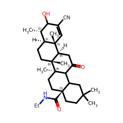 CCNC(=O)[C@]12CCC(C)(C)CC1C1C(=O)C[C@@H]3[C@@]4(C)C=C(C#N)C(O)[C@@H](C)[C@@H]4CC[C@@]3(C)[C@]1(C)CC2